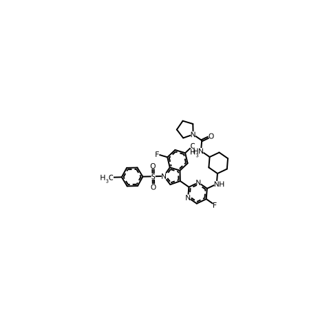 Cc1ccc(S(=O)(=O)n2cc(-c3ncc(F)c(NC4CCCC(NC(=O)N5CCCC5)C4)n3)c3cc(C)cc(F)c32)cc1